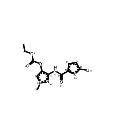 CCOC(=O)Oc1cn(C)nc1NC(=O)c1ccc(Cl)s1